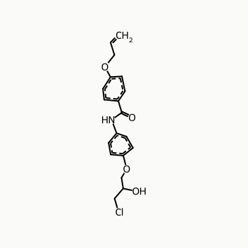 C=CCOc1ccc(C(=O)Nc2ccc(OCC(O)CCl)cc2)cc1